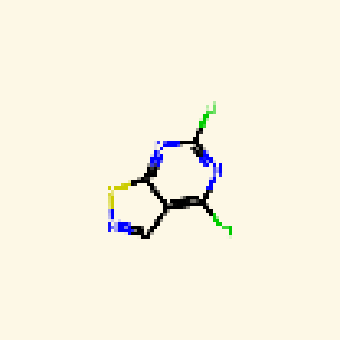 Clc1nc(Cl)c2cnsc2n1